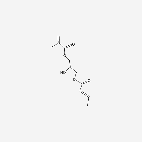 C=C(C)C(=O)OCC(O)COC(=O)C=CC